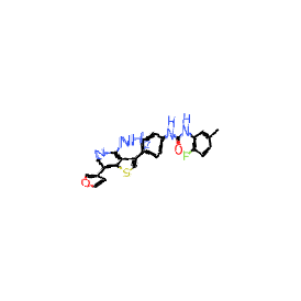 Cc1ccc(F)c(NC(=O)Nc2ccc(-c3csc4c(-c5ccoc5)cnc(N)c34)cc2)c1